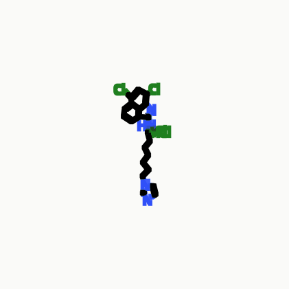 Cl.Cl.Clc1cc(Cl)c2cccc3c2c1N=C3NCCCCCCCn1ccnc1